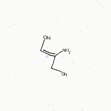 N/C(=C\O)CO